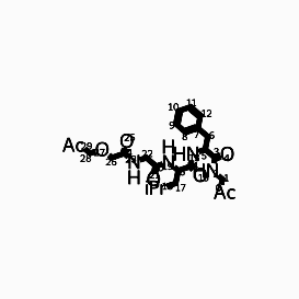 CC(=O)CNC(=O)C(Cc1ccccc1)NC(=O)C(CC(C)C)NC(=O)CNC(=O)COCC(C)=O